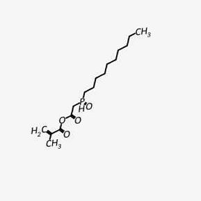 C=C(C)C(=O)OC(=O)C[PH](=O)CCCCCCCCCC